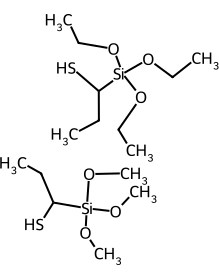 CCC(S)[Si](OC)(OC)OC.CCO[Si](OCC)(OCC)C(S)CC